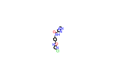 O=C(NCc1ccc(-c2nc3ccc(Cl)nc3o2)cc1)c1cnc2nccn2c1